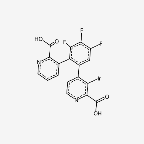 O=C(O)c1ncccc1-c1c(-c2ccnc(C(=O)O)[c]2[Ir])cc(F)c(F)c1F